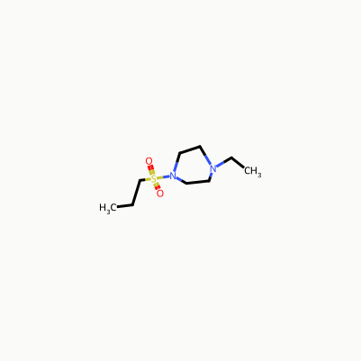 CCCS(=O)(=O)N1CCN(CC)CC1